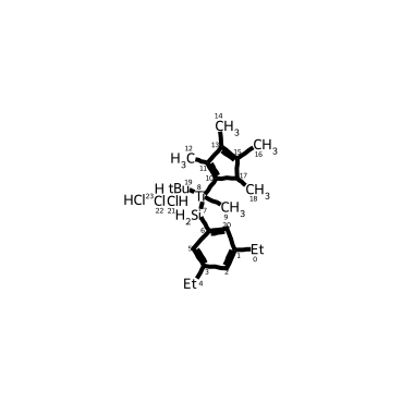 CCc1cc(CC)cc([SiH2][Ti]([CH3])([C]2=C(C)C(C)=C(C)C2C)[C](C)(C)C)c1.Cl.Cl.Cl